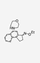 C1COCCN1.CCON=C1CCc2c1ccc1ccccc21